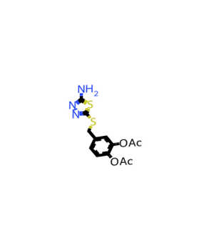 CC(=O)Oc1ccc(CSc2nnc(N)s2)cc1OC(C)=O